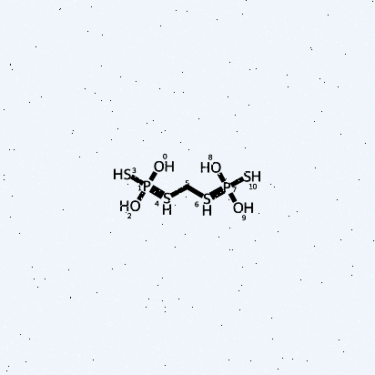 OP(O)(S)=[SH]C[SH]=P(O)(O)S